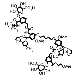 C=C1C[C@@H](C2OCCO2)N(C(=O)c2cc(OC)c(OCCCCCOc3cc(NC(=O)OCc4ccc(O[C@@H]5O[C@H](C(=O)O)[C@@H](O)[C@H](O)[C@H]5O)c(C(=O)NC(=C)C)c4)c(C(=O)N4CC(=C)C[C@H]4C4OCCO4)cc3OC)cc2NC(=O)OCc2ccc(O[C@@H]3O[C@H](C(=O)O)[C@@H](O)[C@H](O)[C@H]3O)c(C(=O)NCCOC)c2)C1